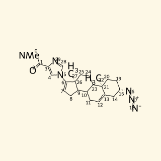 CNC(=O)c1cn(C2=CCC3C4CC=C5C[C@@H](N=[N+]=[N-])CC[C@]5(C)C4CC[C@]23C)cn1